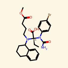 CC[C@@](C(=O)O)(N(C(N)=O)c1ccc(Br)cc1)N(CCCC(=O)OC)C1CCCc2ccccc21